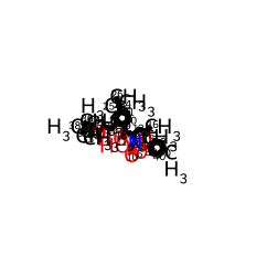 Cc1ccc(S(=O)(=O)N(C(=O)O)C(CC(C)C)C(O)c2ccc(C(C)(C)C)cc2CCO[Si](C)(C)C(C)(C)C)cc1